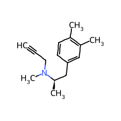 C#CCN(C)[C@H](C)Cc1ccc(C)c(C)c1